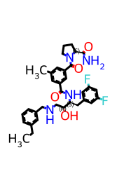 CCc1cccc(CNC[C@@H](O)[C@H](Cc2cc(F)cc(F)c2)NC(=O)c2cc(C)cc(C(=O)N3CCC[C@H]3C(N)=O)c2)c1